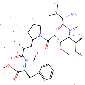 CC[C@H](C)[C@@H]([C@@H](CC(=O)N1CCCC1[C@H](OC)[C@@H](C)C(=O)N[C@@H](Cc1ccccc1)C(=O)OC)OC)N(C)C(=O)[C@@H](N)C(C)C